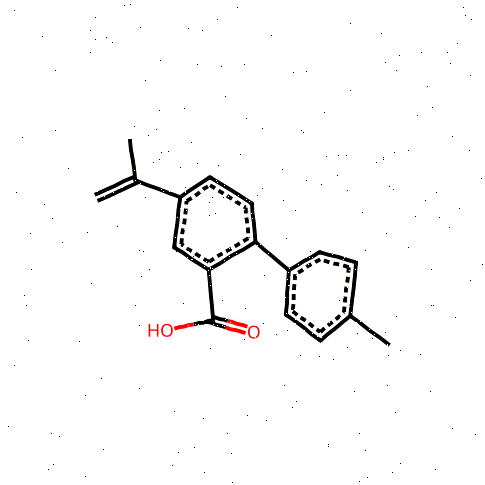 C=C(C)c1ccc(-c2ccc(C)cc2)c(C(=O)O)c1